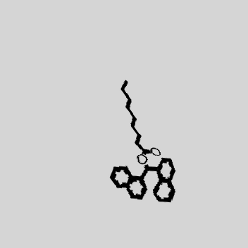 CCCCCCCCC(=O)OC(c1cccc2ccccc12)c1cccc2ccccc12